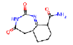 NC(=O)C1CCCC2CC(=O)NC(=O)N=C21